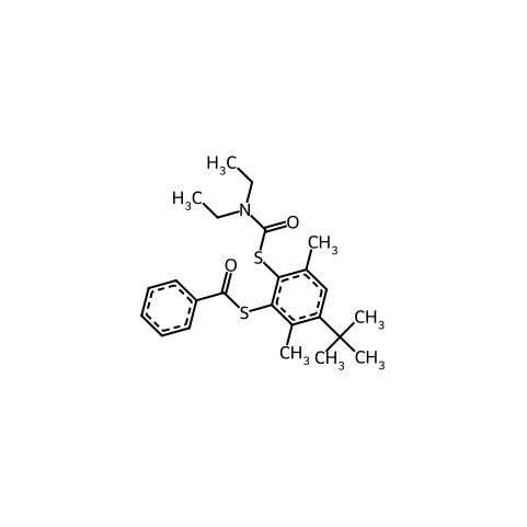 CCN(CC)C(=O)Sc1c(C)cc(C(C)(C)C)c(C)c1SC(=O)c1ccccc1